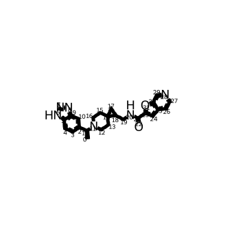 C=C(c1ccc2[nH]nnc2c1)N1CCC2(CC1)CC2CNC(=O)c1cc2ccncc2o1